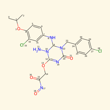 CC(C)Oc1ccc(NC2N(N)C(OCC(=O)N=O)=NC(=O)N2Cc2ccc(Cl)cc2)cc1Cl